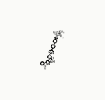 CC(C)(C)OC(=O)N1CC2(CCC(N3CCC(c4cnc(N5CCN6c7cc(-c8ccccc8O)nnc7NC[C@H]6C5)nc4)CC3)CC2)C1